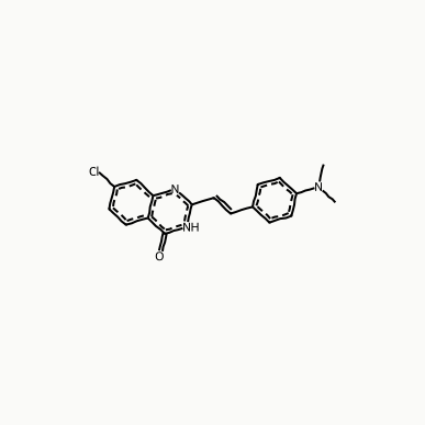 CN(C)c1ccc(C=Cc2nc3cc(Cl)ccc3c(=O)[nH]2)cc1